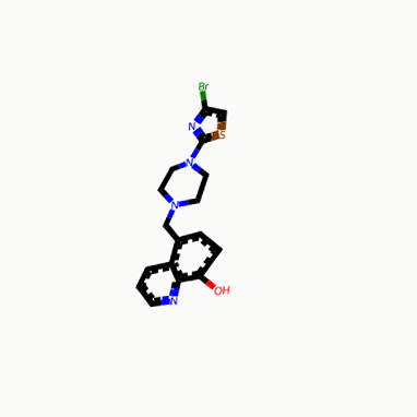 Oc1ccc(CN2CCN(c3nc(Br)cs3)CC2)c2cccnc12